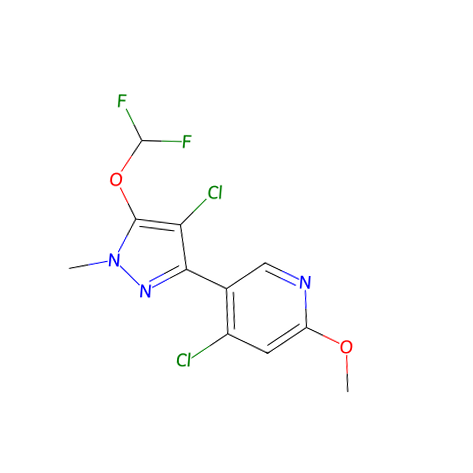 COc1cc(Cl)c(-c2nn(C)c(OC(F)F)c2Cl)cn1